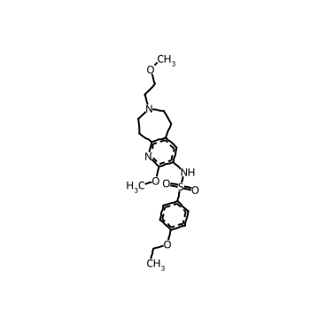 CCOc1ccc(S(=O)(=O)Nc2cc3c(nc2OC)CCN(CCOC)CC3)cc1